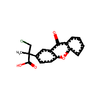 CC(CCl)(C(=O)O)c1ccc2oc3ccccc3c(=O)c2c1